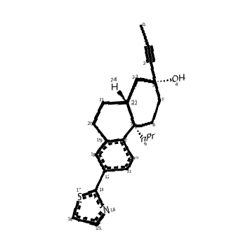 CC#C[C@@]1(O)CC[C@@]2(CCC)c3ccc(-c4nccs4)cc3CC[C@@H]2C1